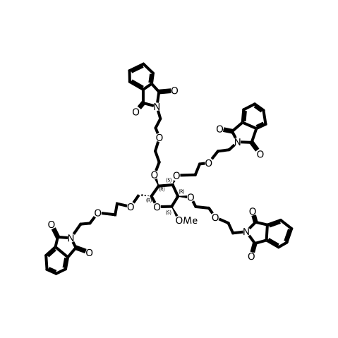 CO[C@H]1O[C@H](COCCOCCN2C(=O)c3ccccc3C2=O)[C@@H](OCCOCCN2C(=O)c3ccccc3C2=O)[C@H](OCCOCCN2C(=O)c3ccccc3C2=O)[C@H]1OCCOCCN1C(=O)c2ccccc2C1=O